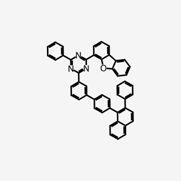 c1ccc(-c2nc(-c3cccc(-c4ccc(-c5c(-c6ccccc6)ccc6ccccc56)cc4)c3)nc(-c3cccc4c3oc3ccccc34)n2)cc1